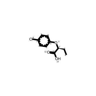 CC[C@H](Oc1ccc(Cl)cc1)C(=O)O